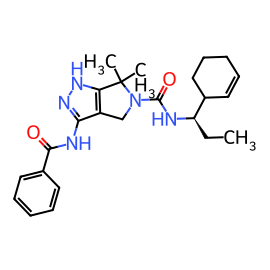 CC[C@@H](NC(=O)N1Cc2c(NC(=O)c3ccccc3)n[nH]c2C1(C)C)C1C=CCCC1